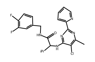 Cc1nc(-c2ccccn2)nc(NC(C(=O)NCc2ccc(F)c(F)c2)C(C)C)c1Cl